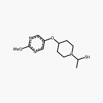 COc1ncc(OC2CCN(C(C)S)CC2)cn1